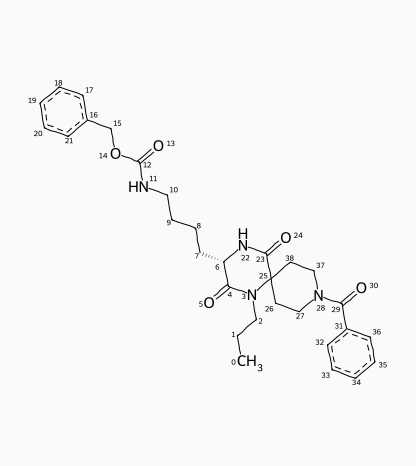 CCCN1C(=O)[C@H](CCCCNC(=O)OCc2ccccc2)NC(=O)C12CCN(C(=O)c1ccccc1)CC2